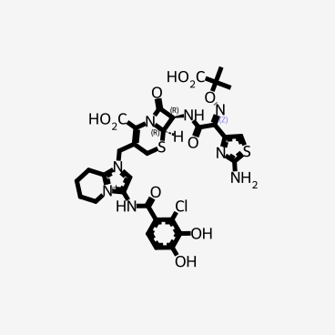 CC(C)(O/N=C(\C(=O)N[C@@H]1C(=O)N2C(C(=O)O)=C(Cn3cc(NC(=O)c4ccc(O)c(O)c4Cl)[n+]4c3CCCC4)CS[C@H]12)c1csc(N)n1)C(=O)O